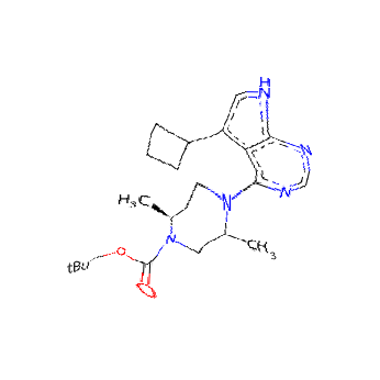 CC1CN(C(=O)OC(C)(C)C)[C@@H](C)CN1c1ncnc2[nH]cc(C3CCC3)c12